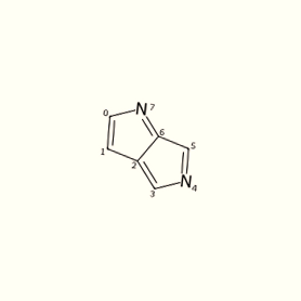 C1=CC2=CN=CC2=N1